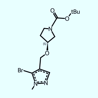 Cn1ncc(CO[C@H]2CCN(C(=O)OC(C)(C)C)C2)c1Br